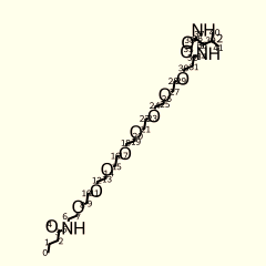 CCCC(=O)NCCOCCOCCOCCOCCOCCOCCOCCOCCC(=O)N[C@H](C(N)=O)C(C)C